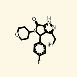 CC(C)Cc1n[nH]c2c1C(c1ccc(F)cc1)N(C1CCOCC1)C2=O